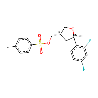 Cc1ccc(S(=O)(=O)OC[C@@H]2CO[C@@](C)(c3ccc(F)cc3F)C2)cc1